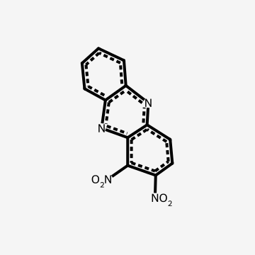 O=[N+]([O-])c1ccc2nc3ccccc3nc2c1[N+](=O)[O-]